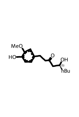 CCCC[C@H](O)CC(=O)CCc1ccc(O)c(OC)c1